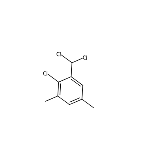 Cc1cc(C)c(Cl)c(C(Cl)Cl)c1